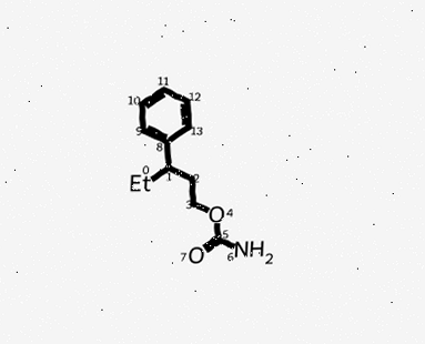 CCC(CCOC(N)=O)c1ccccc1